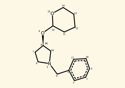 c1ccc(CN2CC[C@@H](OC3CCCCO3)C2)cc1